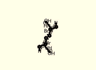 Cc1c(COc2nc(OCc3cccc(C#N)n3)c(CNCCCC(=O)O)cc2Br)cccc1-c1cccc(COc2nc(OCc3cccc(C#N)n3)c(CNCCCC(=O)O)cc2Br)c1C